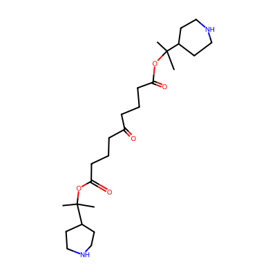 CC(C)(OC(=O)CCCC(=O)CCCC(=O)OC(C)(C)C1CCNCC1)C1CCNCC1